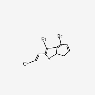 CCC1=C(/C=C/Cl)SC2CC=CC(Br)=C12